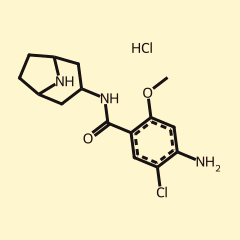 COc1cc(N)c(Cl)cc1C(=O)NC1CC2CCC(C1)N2.Cl